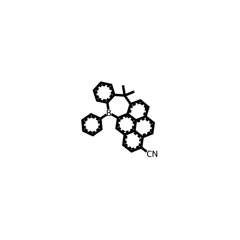 CC1(C)c2ccccc2B(c2ccccc2)c2cc3ccc(C#N)c4ccc5ccc1c2c5c34